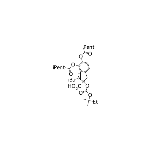 CCCC(C)C(=O)Oc1ccc(C[C@](NC(C)CC)(OC(=O)OC(C)(C)CC)C(=O)O)cc1OC(=O)C(C)CCC